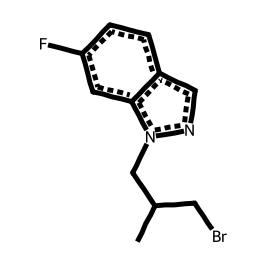 CC(CBr)Cn1ncc2ccc(F)cc21